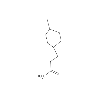 C=C(CCC1CCC(C)CC1)C(=O)O